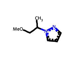 COCC(C)n1cccn1